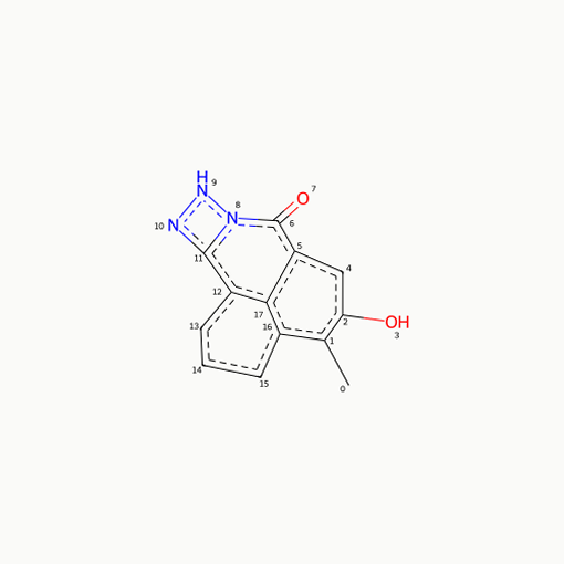 Cc1c(O)cc2c(=O)n3[nH]nc3c3cccc1c23